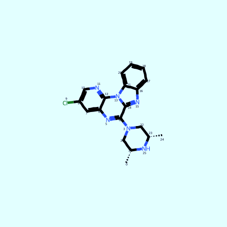 C[C@@H]1CN(c2nc3cc(Cl)cnc3n3c2nc2ccccc23)C[C@H](C)N1